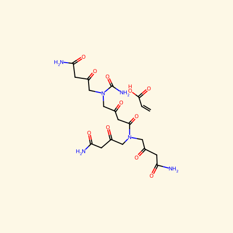 C=CC(=O)O.NC(=O)CC(=O)CN(CC(=O)CC(=O)N(CC(=O)CC(N)=O)CC(=O)CC(N)=O)C(N)=O